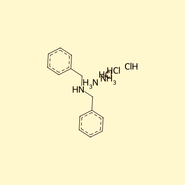 Cl.Cl.Cl.N.N.c1ccc(CNCc2ccccc2)cc1